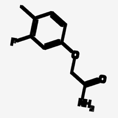 Cc1ccc(OCC(N)=O)cc1F